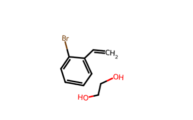 C=Cc1ccccc1Br.OCCO